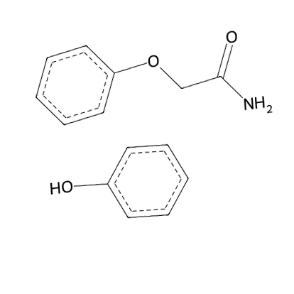 NC(=O)COc1ccccc1.Oc1ccccc1